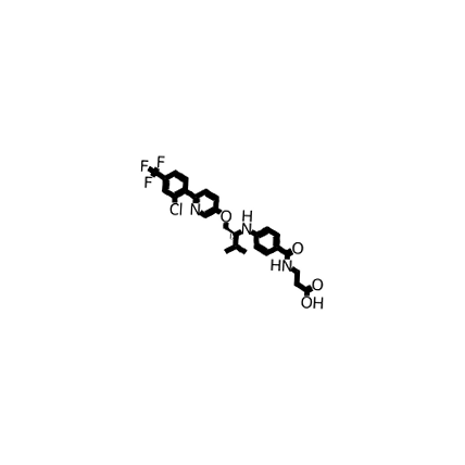 CC(C)[C@@H](COc1ccc(-c2ccc(C(F)(F)F)cc2Cl)nc1)Nc1ccc(C(=O)NCCC(=O)O)cc1